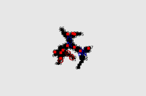 CCCCCCc1ccc(-c2nc(-c3ccc(C)cc3)nc(-c3ccc(-c4ccc(N(c5ccc(-c6ccc7c(c6)C(c6ccc(OCCC)cc6)(c6ccc(OCCOCC)cc6)c6cc(C)ccc6-7)cc5)c5ccc(N(c6ccc(CCCC)cc6)c6ccc(CCCC)cc6)cc5)cc4)cc3)n2)cc1